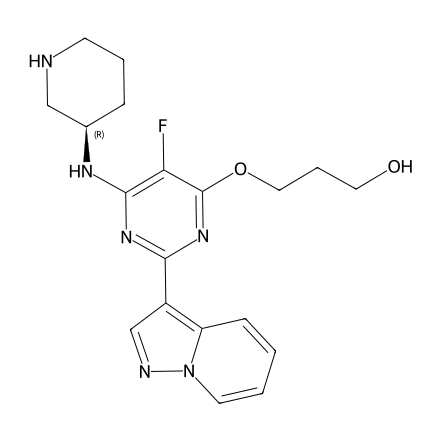 OCCCOc1nc(-c2cnn3ccccc23)nc(N[C@@H]2CCCNC2)c1F